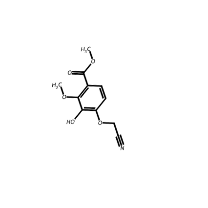 COC(=O)c1ccc(OCC#N)c(O)c1OC